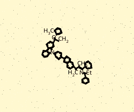 C=CC(Oc1ccccc1C)c1ccc2c3ccccc3n(-c3ccc(-c4ccc5cc(C(=C)/C(C)=C(\N=C(/CC)c6ccccc6)c6ccccc6)ccc5c4)cc3)c2c1